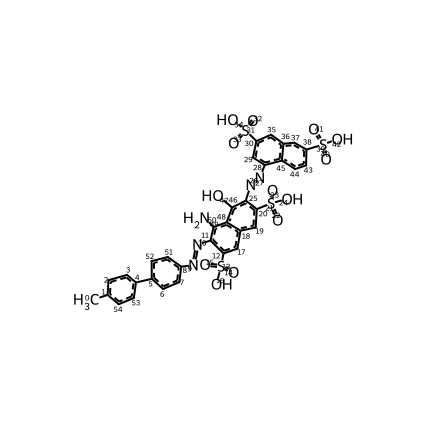 Cc1ccc(-c2ccc(/N=N/c3c(S(=O)(=O)O)cc4cc(S(=O)(=O)O)c(/N=N/c5cc(S(=O)(=O)O)cc6cc(S(=O)(=O)O)ccc56)c(O)c4c3N)cc2)cc1